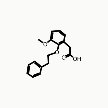 COc1cccc(CC(=O)O)c1OCCc1ccccc1